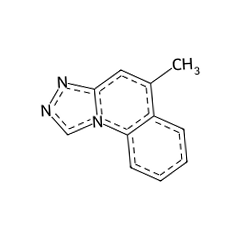 Cc1cc2nncn2c2ccccc12